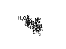 CCOC(=O)C1=C(CN2CCN3C(=S)N(C)C[C@@H]3[C@H]2C(=O)O)NC(c2nccs2)=N[C@H]1c1cccc(F)c1Cl